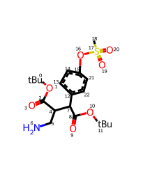 CC(C)(C)OC(=O)C(CN)C(C(=O)OC(C)(C)C)c1ccc(OS(C)(=O)=O)cc1